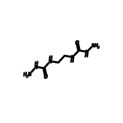 NNC(=O)NCCNC(=O)NN